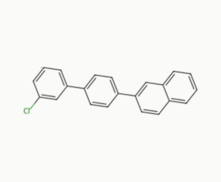 Clc1c[c]cc(-c2ccc(-c3ccc4ccccc4c3)cc2)c1